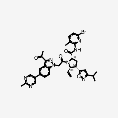 C=C[C@@H]1[C@@H](c2cc(C(C)C)no2)C[C@@H](C(=O)Nc2nc(Br)ccc2C)N1C(=O)Cn1nc(C(C)=O)c2cc(-c3cnc(C)nc3)ccc21